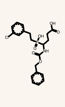 O=C(O)CCC(NC(=O)OCc1ccccc1)P(=O)(O)CCc1cccc(Cl)c1